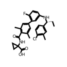 CC[C@@H](Nc1ccc(F)c(-c2cc(C)c(C(=O)NC3(C(=O)O)CC3)c(C)c2)c1)c1ccc(Cl)c(C)c1